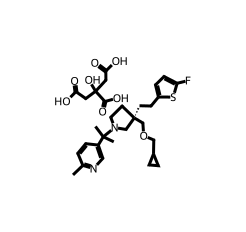 Cc1ccc(C(C)(C)N2CC[C@@](CCc3ccc(F)s3)(COCC3CC3)C2)cn1.O=C(O)CC(O)(CC(=O)O)C(=O)O